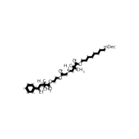 CCCCCCCCCCCCCCCCCCOC(=O)C(C)(C)CSCC(=O)OCCOC(=O)C(C)(C)CC(CC)c1ccccc1